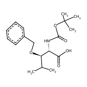 CC(C)[C@@H](OCc1ccccc1)[C@H](NC(=O)OC(C)(C)C)C(=O)O